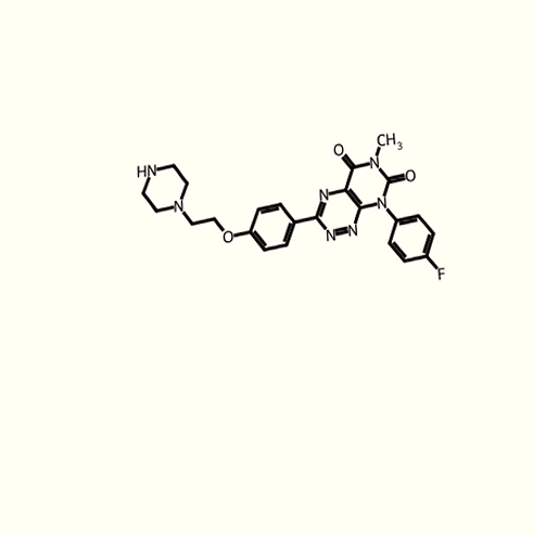 Cn1c(=O)c2nc(-c3ccc(OCCN4CCNCC4)cc3)nnc2n(-c2ccc(F)cc2)c1=O